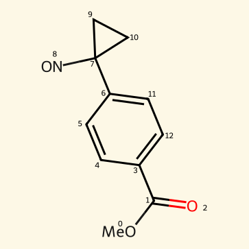 COC(=O)c1ccc(C2(N=O)CC2)cc1